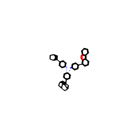 c1ccc2c(c1)oc1c(-c3ccc(N(c4ccc(C5CC6CCC5C6)cc4)c4ccc(C56CC7CC(CC(C7)C5)C6)cc4)cc3)cccc12